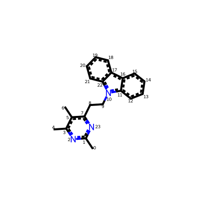 Cc1nc(C)c(C)c(CCn2c3ccccc3c3ccccc32)n1